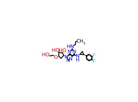 CCCNc1nc(N[C@@H]2C[C@H]2c2ccc(F)c(F)c2)c2nnn([C@@H]3C[C@H](OCCO)[C@@H](O)[C@H]3O)c2n1